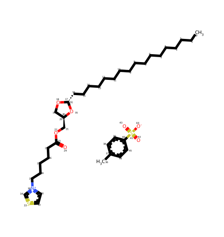 CCCCCCCCCCCCCCCCC[C@H]1OC[C@H](COC(=O)CCCCC[n+]2ccsc2)O1.Cc1ccc(S(=O)(=O)[O-])cc1